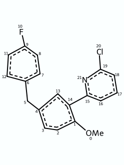 COc1ccc(Cc2ccc(F)cc2)cc1-c1cccc(Cl)n1